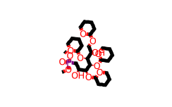 COP(=O)(C[C@H](O)[C@H](OC1CCCCO1)[C@@H](OC1CCCCO1)[C@H](OC1CCCCO1)[C@H](O)COC1CCCCO1)OC